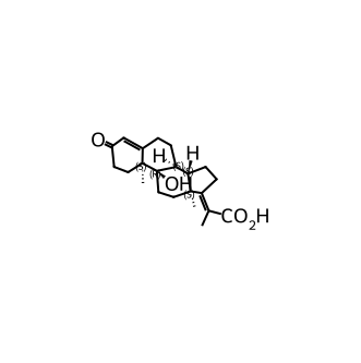 CC(C(=O)O)=C1CC[C@H]2[C@@H]3CCC4=CC(=O)CC[C@]4(C)[C@@]3(O)CC[C@]12C